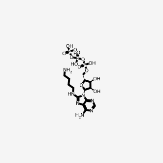 NCCCCNc1nc2c(N)ncnc2n1[C@@H]1O[C@H](COP(=O)(O)OP(=O)(O)OP(=O)(O)O)[C@@H](O)[C@H]1O